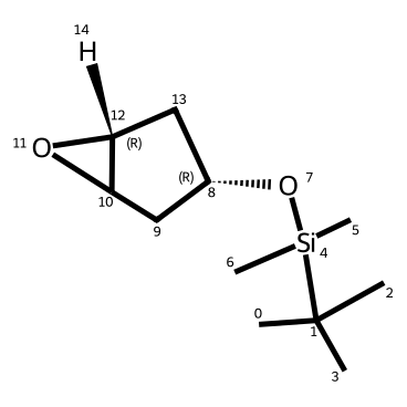 CC(C)(C)[Si](C)(C)O[C@@H]1CC2O[C@@H]2C1